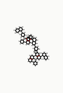 c1ccc(-c2ccccc2N(c2ccc(-c3cccc4ccccc34)cc2)c2ccccc2-c2cccc3c2sc2cc(-c4ccc5c(-c6ccc(N(c7ccc(-c8cccc9ccccc89)cc7)c7ccccc7-c7cccc8c7sc7ccccc78)cc6)cccc5c4)ccc23)cc1